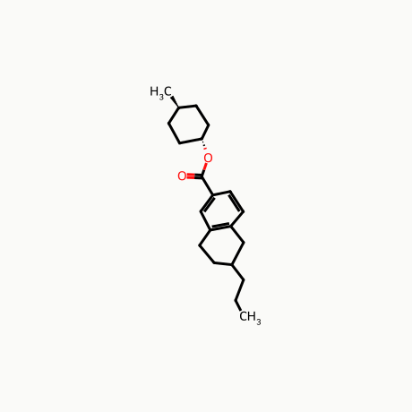 CCCC1CCc2cc(C(=O)O[C@H]3CC[C@H](C)CC3)ccc2C1